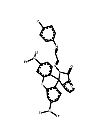 CCN(CC)c1ccc2c(c1)Oc1cc(N(CC)CC)ccc1C21c2ccccc2C(=O)N1/N=C/C=N/c1ccc(Br)cc1